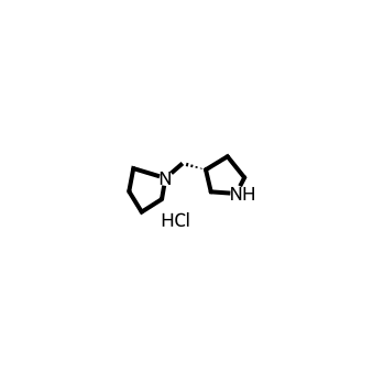 C1CCN(C[C@@H]2CCNC2)C1.Cl